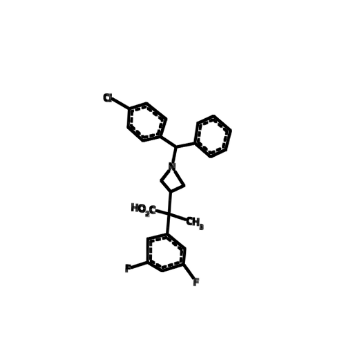 CC(C(=O)O)(c1cc(F)cc(F)c1)C1CN(C(c2ccccc2)c2ccc(Cl)cc2)C1